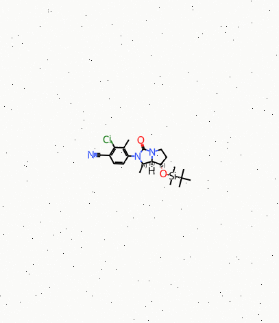 Cc1c(N2C(=O)N3CC[C@H](O[Si](C)(C)C(C)(C)C)[C@H]3[C@H]2C)ccc(C#N)c1Cl